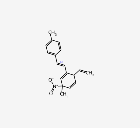 C=CC1C=CC(C)([N+](=O)[O-])C=C1/C=C/c1ccc(C)cc1